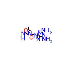 CNCCN(CC(C)=O)C(=O)Cn1cnc2c(N)nc(N)nc21